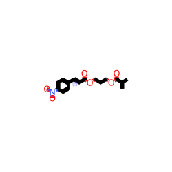 C=C(C)C(=O)OCCCOC(=O)/C=C/c1ccc([N+](=O)[O-])cc1